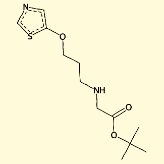 CC(C)(C)OC(=O)CNCCCOc1cncs1